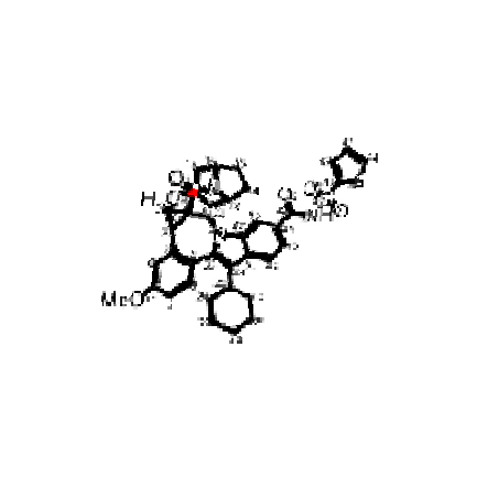 COc1ccc2c(c1)C1CC1(C(=O)N1C3CCC1CN(C)C3)Cn1c-2c(C2CCCCC2)c2ccc(C(=O)NS(=O)(=O)c3cccs3)cc21